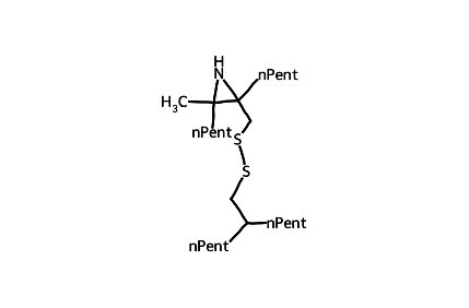 CCCCCC(CCCCC)CSSCC1(CCCCC)NC1(C)CCCCC